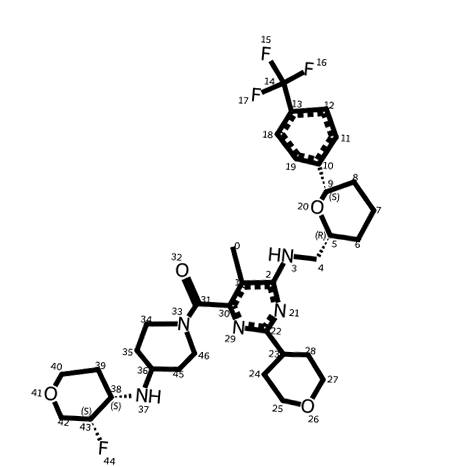 Cc1c(NC[C@H]2CCC[C@@H](c3ccc(C(F)(F)F)cc3)O2)nc(C2CCOCC2)nc1C(=O)N1CCC(N[C@H]2CCOC[C@H]2F)CC1